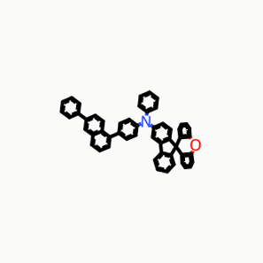 c1ccc(-c2ccc3c(-c4ccc(N(c5ccccc5)c5ccc6c(c5)-c5ccccc5C65c6ccccc6Oc6ccccc65)cc4)cccc3c2)cc1